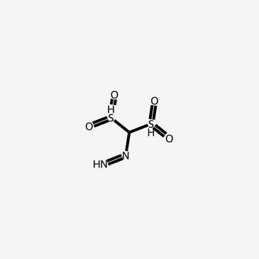 N=NC([SH](=O)=O)[SH](=O)=O